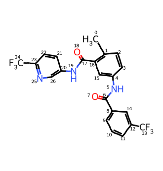 Cc1ccc(NC(=O)c2cccc(C(F)(F)F)c2)cc1C(=O)Nc1ccc(C(F)(F)F)nc1